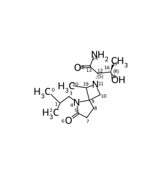 CC(C)CN1C(=O)CCC12CN([C@H](C(N)=O)[C@@H](C)O)C2C